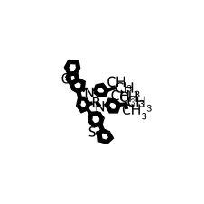 CC(C)(C)c1ccc(N2B3c4cc(C(C)(C)C)ccc4-n4c5cc6c(cc5c5ccc(c3c54)-c3cc4sc5ccccc5c4cc32)oc2ccccc26)cc1